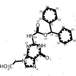 O=C(O)Cn1cnc2c(=O)[nH]c(NC(=O)OC(c3ccccc3)c3ccccc3)nc21